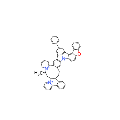 C=C1CC2C(CCc3cc4c(cc3-c3cccc[n+]31)c1cc(-c3ccccc3)cc3c5c6c(ccc5n4c13)oc1ccccc16)c1ccccc1-c1cccc[n+]12